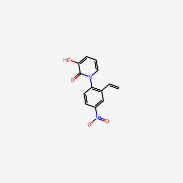 C=Cc1cc([N+](=O)[O-])ccc1-n1cccc(O)c1=O